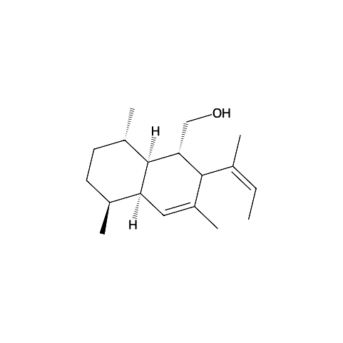 C/C=C(/C)C1C(C)=C[C@@H]2[C@H]([C@@H]1CO)[C@@H](C)CC[C@@H]2C